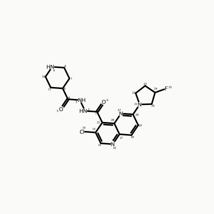 O=C(NNC(=O)C1CCNCC1)c1c(Cl)cnc2ccc(N3CCC(F)C3)nc12